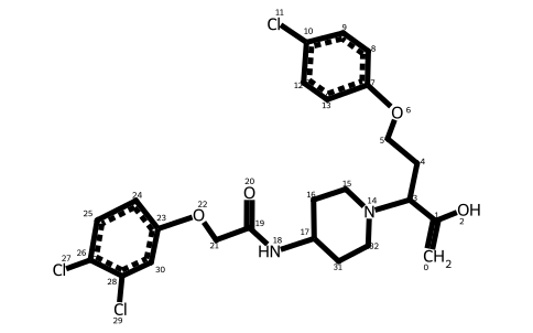 C=C(O)C(CCOc1ccc(Cl)cc1)N1CCC(NC(=O)COc2ccc(Cl)c(Cl)c2)CC1